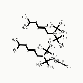 CC(C)CC=CCP(C(C)(C)C)C(C)(C)C.CC(C)CC=CCP(C(C)(C)C)C(C)(C)C.[Cl][Ni][Cl]